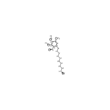 COc1cc(CCCCCCCCCCBr)c(C=O)c(OC)c1OC